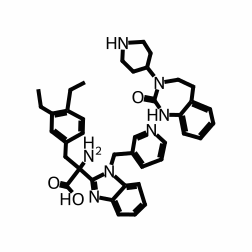 CCc1ccc(CC(N)(C(=O)O)c2nc3ccccc3n2Cc2cccnc2)cc1CC.O=C1Nc2ccccc2CCN1C1CCNCC1